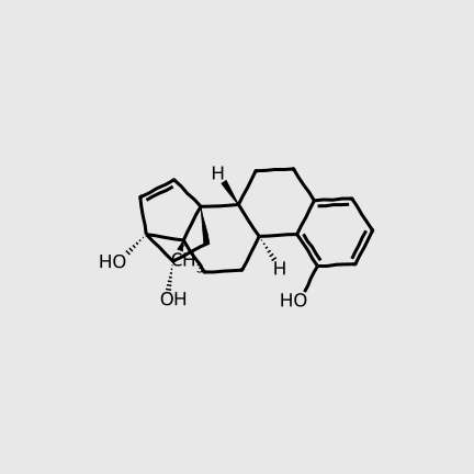 C[C@]12CC[C@@H]3c4c(O)cccc4CC[C@H]3[C@@]13C=C[C@]2(O)[C@@H](O)C3